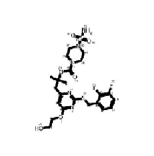 CC(C)(Cc1cc(OCCO)nc(SCc2cccc(F)c2F)n1)OC(=O)N1CCN(S(N)(=O)=O)CC1